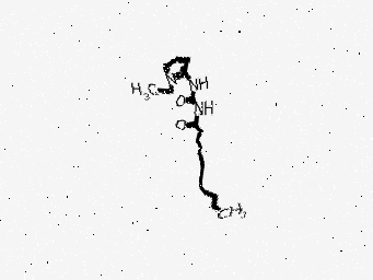 CCCCCCCCCC(=O)NC(=O)Nc1cccn1CC